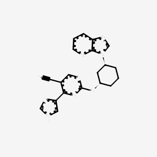 N#Cc1cnc(N[C@@H]2CCC[C@H](n3cnc4cccnc43)C2)nc1-c1c[nH]cn1